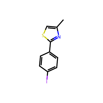 Cc1csc(-c2ccc(I)cc2)n1